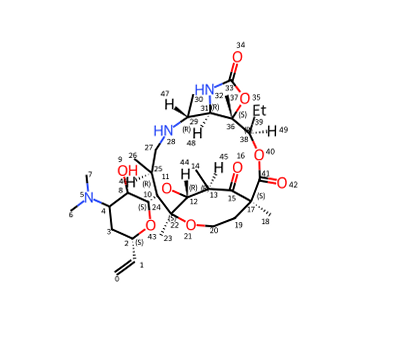 C=C[C@@H]1CC(N(C)C)C(O)[C@H](O[C@@H]2[C@@H](C)C(=O)[C@]3(C)CCO[C@@]2(C)C[C@@H](C)CN[C@H](C)[C@H]2NC(=O)O[C@]2(C)[C@@H](CC)OC3=O)O1